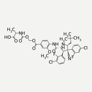 COc1cc(C(=O)OCOC(=O)NC(C)C(=O)O)ccc1NC(=O)[C@@H]1N[C@@H](CC(C)(C)C)[C@](C#N)(c2ccc(Cl)cc2F)[C@H]1c1cccc(Cl)c1F